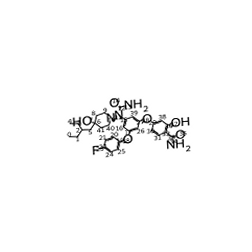 CCC(CC)CC1(O)CCN(N(C(N)=O)c2cc(Oc3ccc(F)cc3)cc(Oc3ccc(C(N)=O)c(O)c3)c2)CC1